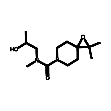 CC(O)CN(C)C(=O)N1CCC2(CC1)OC2(C)C